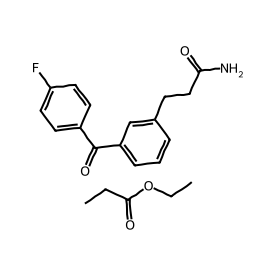 CCOC(=O)CC.NC(=O)CCc1cccc(C(=O)c2ccc(F)cc2)c1